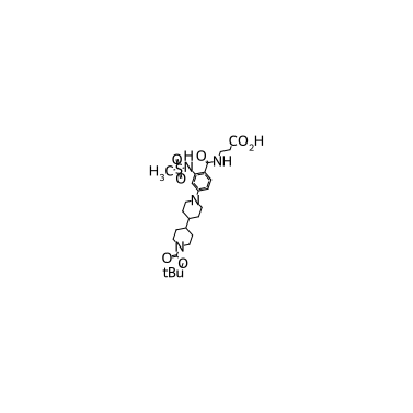 CC(C)(C)OC(=O)N1CCC(C2CCN(c3ccc(C(=O)NCCC(=O)O)c(NS(C)(=O)=O)c3)CC2)CC1